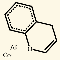 C1=COc2ccccc2C1.[Al].[Co]